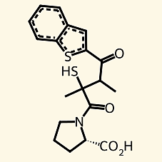 CC(C(=O)c1cc2ccccc2s1)C(C)(S)C(=O)N1CCC[C@H]1C(=O)O